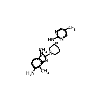 Cc1c(N)ccc2c1nc(N1CCC[C@@H](Nc3ncc(C(F)(F)F)cn3)C1)n2C